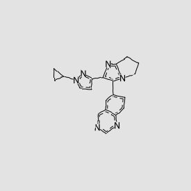 c1ncc2cc(-c3c(-c4ccn(C5CC5)n4)nc4n3CCC4)ccc2n1